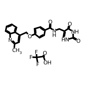 Cc1cc(COc2ccc(C(=O)NCc3c[nH]c(=O)[nH]c3=O)cc2)c2ccccc2n1.O=C(O)C(F)(F)F